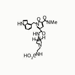 CNC(=O)c1cc(C(=O)N[C@H]2[C@@H]3CN(CCNC(=O)O)C[C@@H]32)cn(Cc2cccc3[nH]ccc23)c1=O